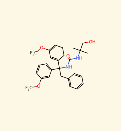 CC(C)(CO)NC(=O)NC(Cc1ccccc1)(C1=CC(OC(F)(F)F)=CCC1)c1cccc(OC(F)(F)F)c1